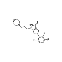 Fc1ccc(F)c(C2Cc3c(CCCN4CCOCC4)[nH]c(=S)n3C2)c1F